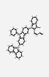 C=C/C=C\c1c(C)c2ccccc2n1-c1ccc2c(c1)c1ccc(-n3c4ccccc4c4ccccc43)cc1n2-c1ccccc1